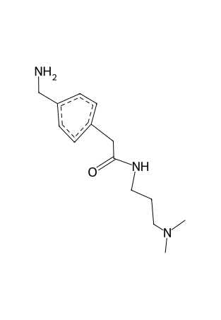 CN(C)CCCNC(=O)Cc1ccc(CN)cc1